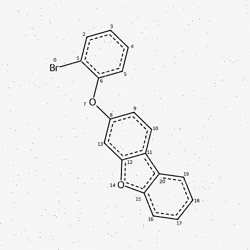 Brc1ccccc1Oc1ccc2c(c1)oc1ccccc12